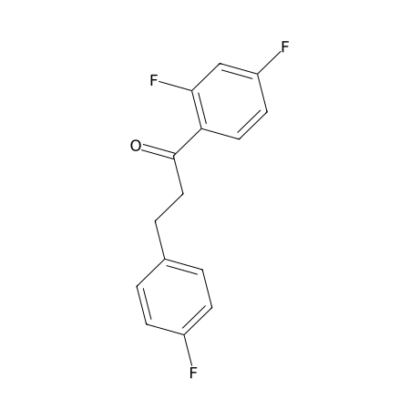 O=C(CCc1ccc(F)cc1)c1ccc(F)cc1F